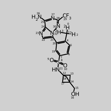 [2H]C([2H])([2H])c1ccc(S(=O)(=O)NC23CC(CO)(C2)C3)cc1-c1cnc2c(N)nc(C(F)(F)F)nn12